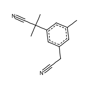 Cc1cc(CC#N)cc(C(C)(C)C#N)c1